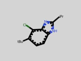 CC(C)c1nc2c(Cl)c(C(C)(C)C)ccc2[nH]1